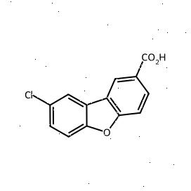 O=C(O)c1ccc2oc3ccc(Cl)cc3c2c1